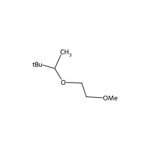 COCCOC(C)C(C)(C)C